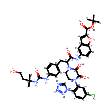 CC(C)(CCO)NC(=O)Nc1ccc(CC(C(=O)Nc2ccc3oc(C(=O)OC(C)(C)C)cc3c2)N2CCN(c3cc(Cl)ccc3-n3cnnn3)C(=O)C2=O)cc1